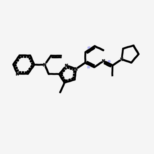 C=CN(Cc1nn(C(/C=C\C)=C/N=C(\C)N2CCCC2)cc1C)c1cccnc1